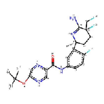 [2H]C([2H])([2H])Oc1cnc(C(=O)Nc2ccc(F)c([C@]3(C)CC[C@@](F)(CF)C(N)=N3)c2)cn1